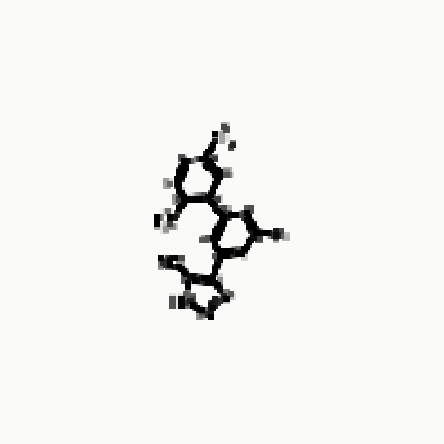 N#Cc1[nH]nnc1-c1cc(F)cc(-c2cc(C(F)(F)F)ccc2C(F)(F)F)c1